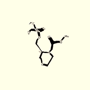 CC(C)(C)OC(=O)N1CCOC[C@H]1COS(C)(=O)=O